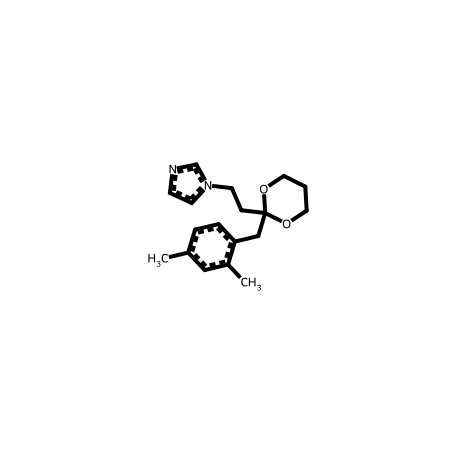 Cc1ccc(CC2(CCn3ccnc3)OCCCO2)c(C)c1